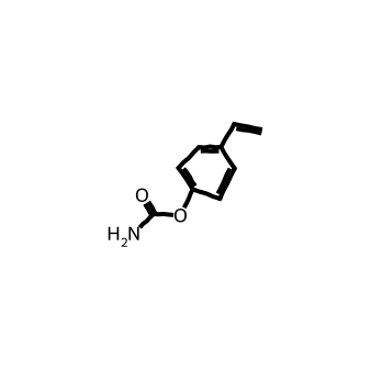 C=Cc1ccc(OC(N)=O)cc1